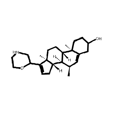 C[C@@H]1C=C2CC(O)CC[C@]2(C)[C@H]2CC[C@]3(C)C(C4CNCCO4)=CC[C@H]3[C@H]12